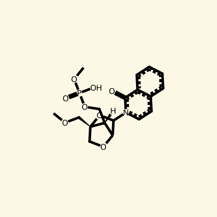 COC[C@@]12COC(C(n3ccc4ccccc4c3=O)O1)[C@H]2COP(=O)(O)OC